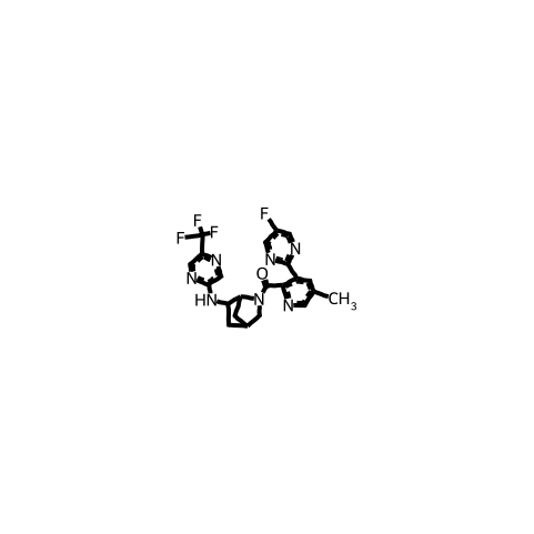 Cc1cnc(C(=O)N2CC3CC(Nc4cnc(C(F)(F)F)cn4)C2C3)c(-c2ncc(F)cn2)c1